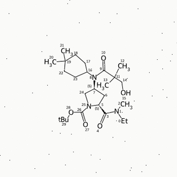 CCN(C)C(=O)[C@@H]1C[C@H](N(C(=O)C(C)(C)CO)C2CCC(C)(C)CC2)CN1C(=O)OC(C)(C)C